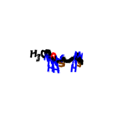 Cc1cccc(NC(=O)Nc2ncc(CCNc3ncnc4ccsc34)s2)n1